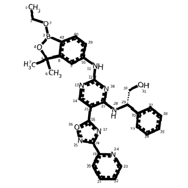 CCOB1OC(C)(C)c2cc(Nc3ncc(-c4nc(-c5ccccn5)no4)c(N[C@H](CO)c4ccccc4)n3)ccc21